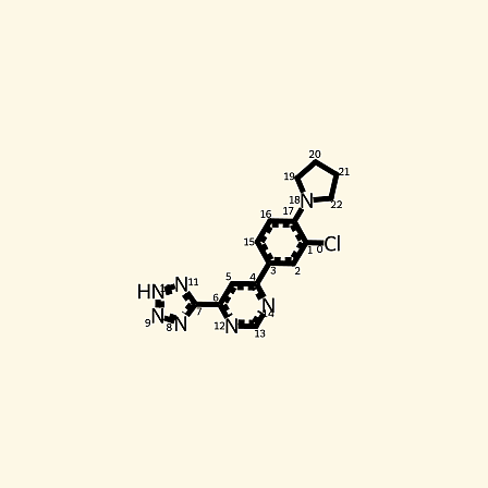 Clc1cc(-c2cc(-c3nn[nH]n3)ncn2)ccc1N1CCCC1